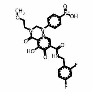 COCCN1CN(c2ccc([N+](=O)O)cc2)n2cc(C(=O)NCc3ccc(F)cc3F)c(=O)c(O)c2C1=O